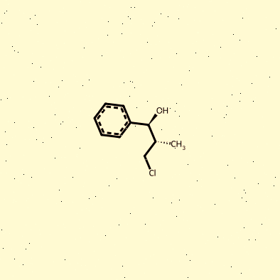 C[C@H](CCl)[C@H](O)c1ccccc1